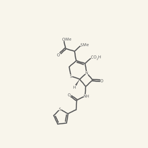 COC(=O)C(SC)C1=C(C(=O)O)N2C(=O)C(NC(=O)Cc3cccs3)[C@@H]2SC1